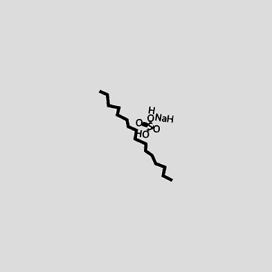 CCCCCCCCCCCCCCCC.O=S(=O)(O)O.[NaH]